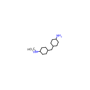 NC1CCC(CC2CCC(NC(=O)O)CC2)CC1